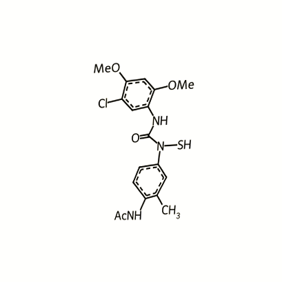 COc1cc(OC)c(NC(=O)N(S)c2ccc(NC(C)=O)c(C)c2)cc1Cl